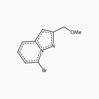 COCc1cc2cccc(Br)n2n1